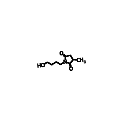 CC1CC(=O)N(CCCCO)C1=O